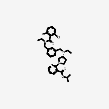 CCN(Cc1cccc(CN(CC)[C@@H]2CCN(c3ncccc3C(=O)OC(C)C)C2)c1)C(=O)c1c(F)cccc1Cl